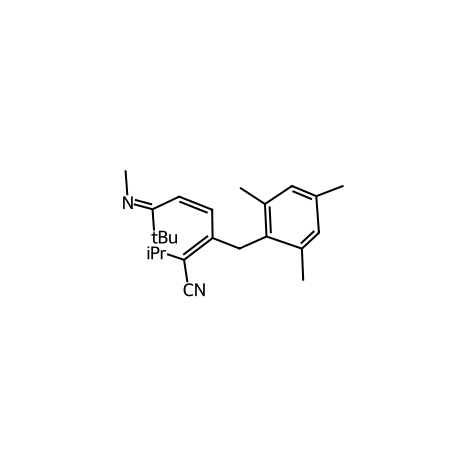 C\N=C(/C=C\C(Cc1c(C)cc(C)cc1C)=C(\C#N)C(C)C)C(C)(C)C